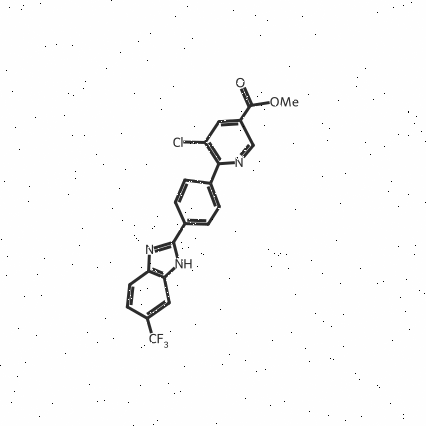 COC(=O)c1cnc(-c2ccc(-c3nc4ccc(C(F)(F)F)cc4[nH]3)cc2)c(Cl)c1